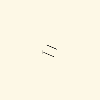 CI.CI